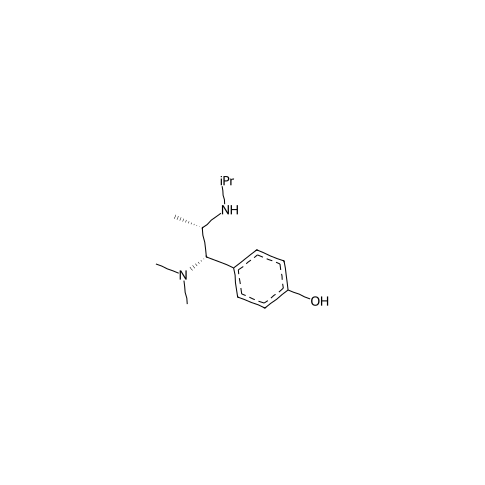 CC(C)N[C@@H](C)[C@H](c1ccc(O)cc1)N(C)C